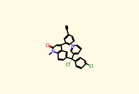 C#Cc1cccc(-c2cc(=O)n(C)c3ccc([C@](Cl)(c4ccc(Cl)cc4)c4cccnc4)cc23)c1